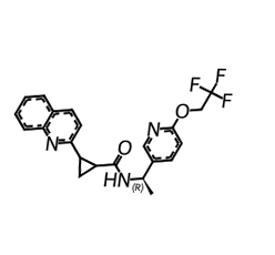 C[C@@H](NC(=O)C1CC1c1ccc2ccccc2n1)c1ccc(OCC(F)(F)F)nc1